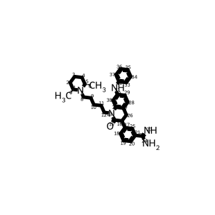 C[C@@H]1CCC[C@H](C)N1CCCCCN1C(=O)C(c2cccc(C(=N)N)c2)Cc2ccc(Nc3ccccc3)cc21